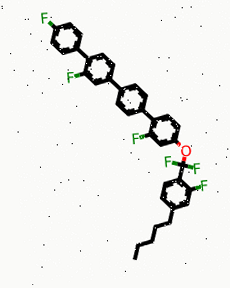 CCCCCc1ccc(C(F)(F)Oc2ccc(-c3ccc(-c4ccc(-c5ccc(F)cc5)c(F)c4)cc3)c(F)c2)c(F)c1